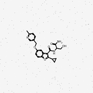 Cc1ccc(COc2ccc3oc(C4CC4)c(C(=O)NC(CO)C(N)=O)c3c2)cn1